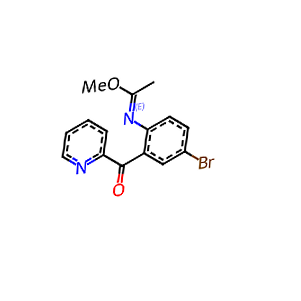 CO/C(C)=N/c1ccc(Br)cc1C(=O)c1ccccn1